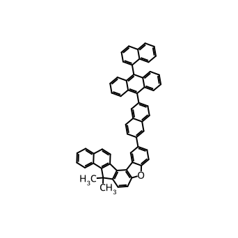 CC1(C)c2ccc3oc4ccc(-c5ccc6cc(-c7c8ccccc8c(-c8cccc9ccccc89)c8ccccc78)ccc6c5)cc4c3c2-c2ccc3ccccc3c21